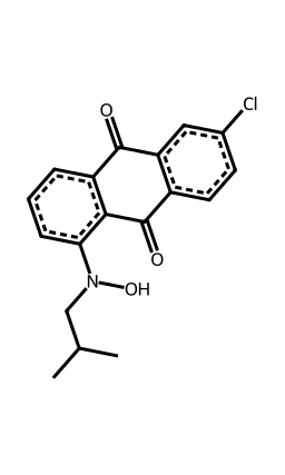 CC(C)CN(O)c1cccc2c1C(=O)c1ccc(Cl)cc1C2=O